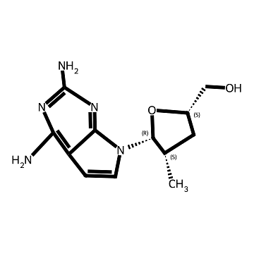 C[C@H]1C[C@@H](CO)O[C@H]1n1ccc2c(N)nc(N)nc21